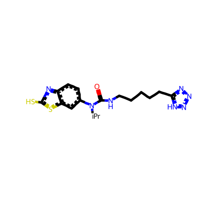 CC(C)N(C(=O)NCCCCCc1nnn[nH]1)c1ccc2nc(S)sc2c1